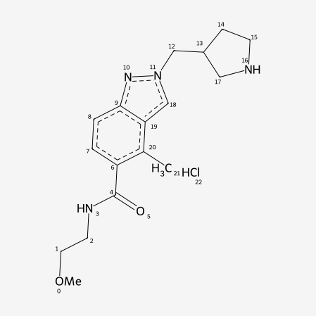 COCCNC(=O)c1ccc2nn(CC3CCNC3)cc2c1C.Cl